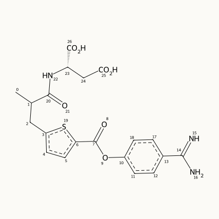 CC(Cc1ccc(C(=O)Oc2ccc(C(=N)N)cc2)s1)C(=O)N[C@@H](CC(=O)O)C(=O)O